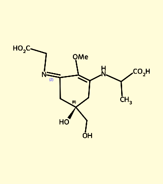 COC1=C(NC(C)C(=O)O)C[C@](O)(CO)C/C1=N/CC(=O)O